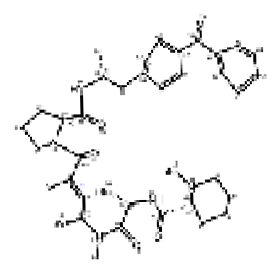 C/C(=C\[C@H](C(C)C)N(C)C(=O)[C@@H](NC(=O)[C@H]1CCCCN1C(C)C)C(C)(C)C)C(=O)N1CCC[C@H]1C(=O)N[C@H](C)Cc1ccc(C(=O)c2ccccc2)cc1